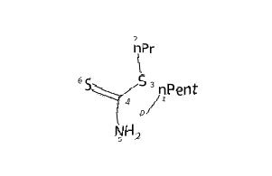 CCCCCC.CCCSC(N)=S